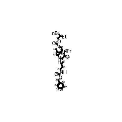 CCCCC(CC)COC(=O)N1CCC2(CC1)C(=O)N[C@@H](CCCCNC(=O)OCc1ccccc1)C(=O)N2CCC